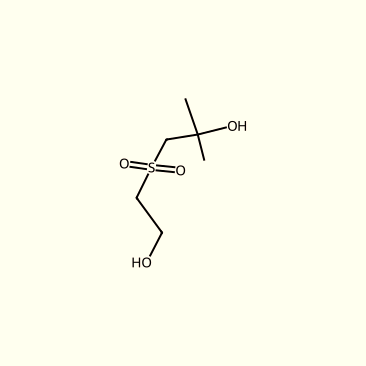 CC(C)(O)CS(=O)(=O)CCO